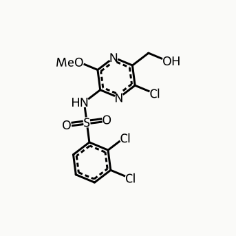 COc1nc(CO)c(Cl)nc1NS(=O)(=O)c1cccc(Cl)c1Cl